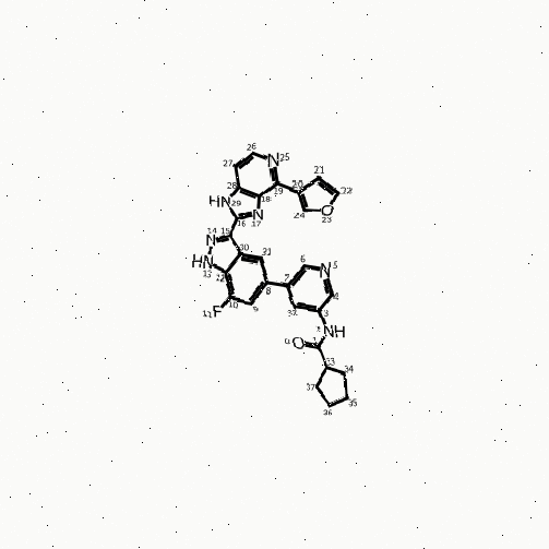 O=C(Nc1cncc(-c2cc(F)c3[nH]nc(-c4nc5c(-c6ccoc6)nccc5[nH]4)c3c2)c1)C1CCCC1